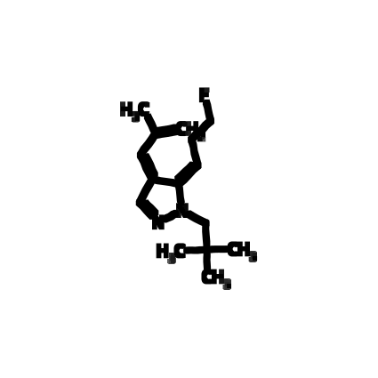 C=C(C)/C=c1/cnn(CC(C)(C)C)/c1=C/CCF